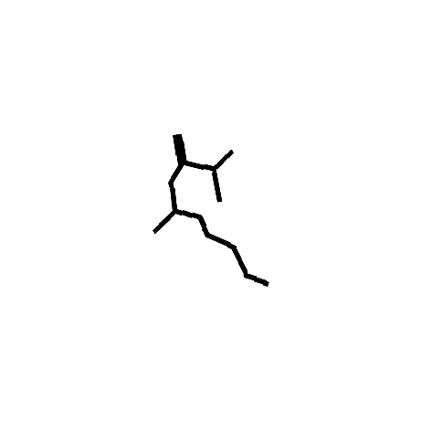 C=C(CC(C)CCCCC)C(C)C